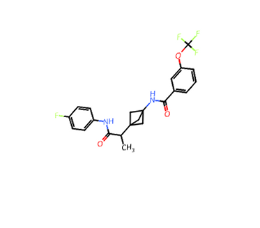 CC(C(=O)Nc1ccc(F)cc1)C12CC(NC(=O)c3cccc(OC(F)(F)F)c3)(C1)C2